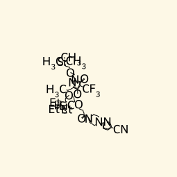 CC[Si](CC)(CC)CCOC(C)c1nn(COCC[Si](C)(C)C)c(=O)c(C(F)(F)F)c1OCC(C)OCCC(=O)N1CCN(c2ccc(C#N)cn2)CC1